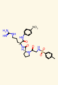 Cc1ccc(S(=O)(=O)NCC(=O)N2CCC[C@H]2C(=O)N[C@@H](CCCNC(=N)N)C(=O)Nc2ccc([N+](=O)[O-])cc2)cc1